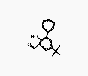 CC(C)(C)c1cc(C=O)c(O)c(-c2ccccc2)c1